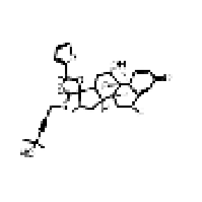 C[C@@H]1C[C@H]2[C@@H]3C[C@H](F)C4=CC(=O)C=C[C@]4(C)[C@@]3(F)[C@@H](O)C[C@]2(C)[C@@]1(OC(=O)c1ccco1)C(=O)SCC#CC(C)(C)O